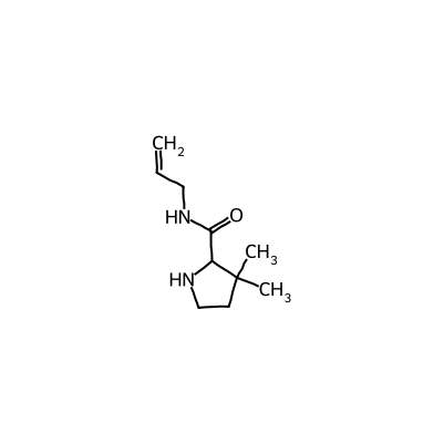 C=CCNC(=O)C1NCCC1(C)C